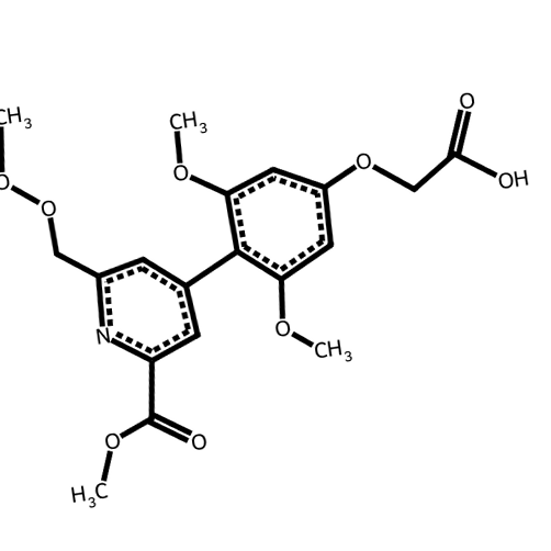 COOCc1cc(-c2c(OC)cc(OCC(=O)O)cc2OC)cc(C(=O)OC)n1